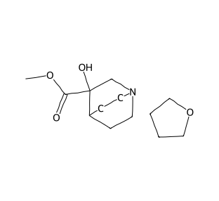 C1CCOC1.COC(=O)C1(O)CN2CCC1CC2